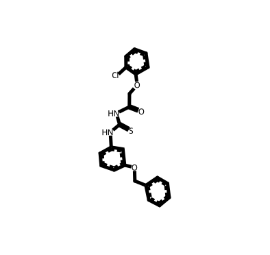 O=C(COc1ccccc1Cl)NC(=S)Nc1cccc(OCc2ccccc2)c1